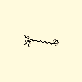 CCO[Si](CCCCCCCCCCC1OCCO1)(OCC)OCC